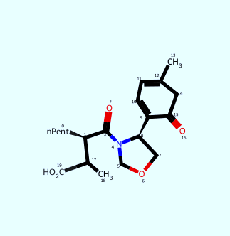 CCCCC[C@@H](C(=O)N1COC[C@@H]1C1=CC=C(C)CC1=O)C(C)C(=O)O